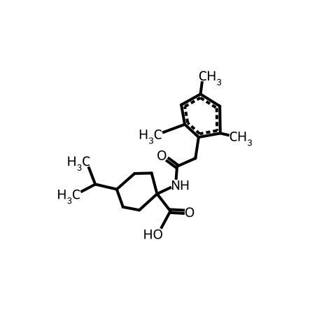 Cc1cc(C)c(CC(=O)NC2(C(=O)O)CCC(C(C)C)CC2)c(C)c1